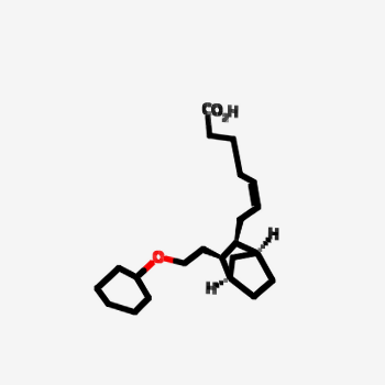 O=C(O)CCC/C=C\C[C@H]1[C@H]2CC[C@H](C2)[C@H]1CCOC1CCCCC1